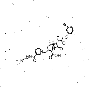 NCCNC(=O)c1ccc[n+](CC2=C(C(=O)O)N3C(=O)[C@H](NC(=O)CSc4cccc(Br)c4)[C@H]3SC2)c1